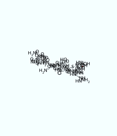 CC[C@H](C)[C@H](NC(=O)[C@H](CCCNC(=N)N)NC(=O)CNC(=O)[C@H](CCSC)NC(=O)[C@H](Cc1c[nH]c2ccccc12)NC(=O)[C@H](CCC(=O)O)NC(=O)[C@H](CC(C)C)NC(=O)CNC(=O)[C@H](CCCCN)NC(=O)CNC(=O)[C@@H]1CCCN1C(=O)[C@H](C)NC(=O)[C@H](CCC(N)=O)NC(=O)[C@H](CCC(N)=O)NC(=O)[C@@H](N)C(C)C)C(=O)N[C@@H](CC(=O)O)C(=O)N1CCC[C@H]1C(=O)N[C@@H](C)C(=O)O